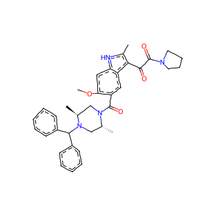 COc1cc2[nH]c(C)c(C(=O)C(=O)N3CCCC3)c2cc1C(=O)N1C[C@H](C)N(C(c2ccccc2)c2ccccc2)C[C@H]1C